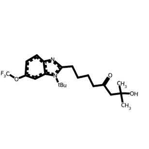 CC(C)(O)CC(=O)CCCCc1nc2ccc(OC(F)(F)F)cc2n1C(C)(C)C